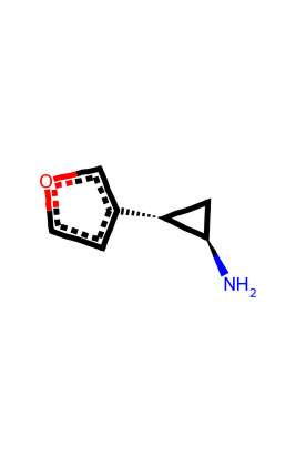 N[C@@H]1C[C@H]1c1ccoc1